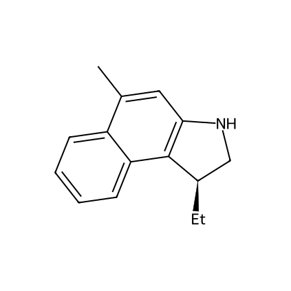 CC[C@@H]1CNc2cc(C)c3ccccc3c21